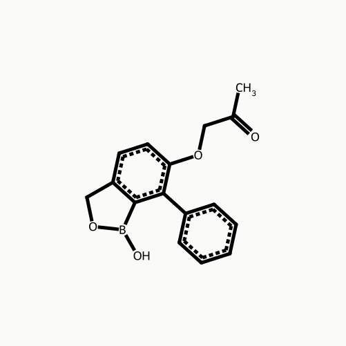 CC(=O)COc1ccc2c(c1-c1ccccc1)B(O)OC2